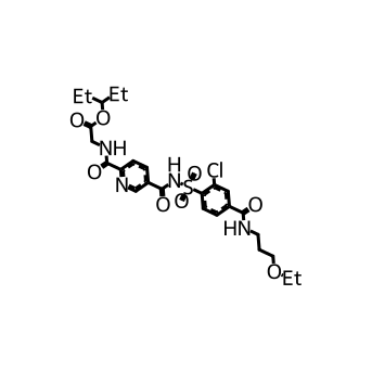 CCOCCCNC(=O)c1ccc(S(=O)(=O)NC(=O)c2ccc(C(=O)NCC(=O)OC(CC)CC)nc2)c(Cl)c1